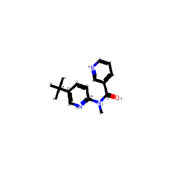 CN(C(=O)c1cccnc1)c1ccc(C(C)(C)C)cn1